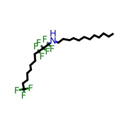 CCCCCCCCCCCCNC(F)(F)C(F)(F)C(F)(F)CCCCCCCC(F)(F)F